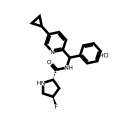 Cl.O=C(NC(c1ccccc1)c1ccc(C2CC2)cn1)[C@@H]1C[C@@H](F)CN1